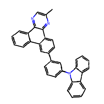 Cc1cnc2c3ccccc3c3cc(-c4cccc(-n5c6ccccc6c6ccccc65)c4)ccc3c2n1